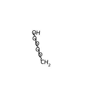 C=CCCOCCOCCOCCOCCO